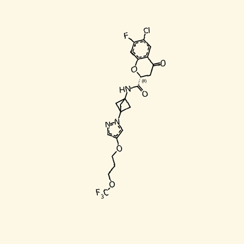 O=C1C[C@H](C(=O)NC23CC(n4cc(OCCCOC(F)(F)F)cn4)(C2)C3)Oc2cc(F)c(Cl)cc21